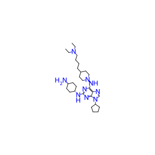 CCN(CC)CCCCC1CCN(Nc2nc(N[C@H]3CC[C@H](N)CC3)nc3c2ncn3C2CCCC2)CC1